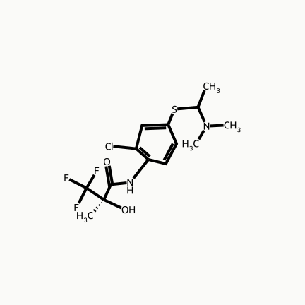 CC(Sc1ccc(NC(=O)[C@@](C)(O)C(F)(F)F)c(Cl)c1)N(C)C